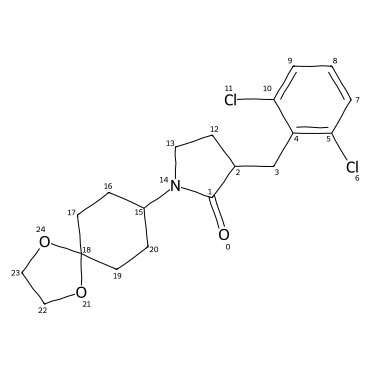 O=C1C(Cc2c(Cl)cccc2Cl)CCN1C1CCC2(CC1)OCCO2